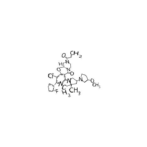 C=CC(=O)N1CCN2C(=O)c3c(N4CC(N5CCC(OC)C5)CC4(C)C)nc(-c4ccccc4F)c(Cl)c3OC[C@H]2C1